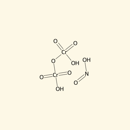 O=NO.[O]=[Cr](=[O])([OH])[O][Cr](=[O])(=[O])[OH]